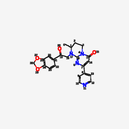 CC1CCn2c(nc(-c3ccncc3)cc2=O)N1CC(=O)c1ccc2c(c1)OCO2